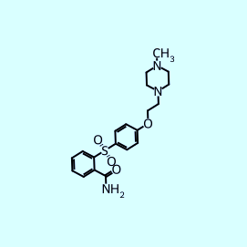 CN1CCN(CCOc2ccc(S(=O)(=O)c3ccccc3C(N)=O)cc2)CC1